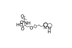 CC1(C(=O)NC(CCO[C@H]2C[C@H](CCc3ccc4c(n3)NCCC4)C2)C(=O)O)COC1